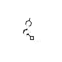 CC1CCN(c2ccnc(C3CC(O)C3)n2)CC1